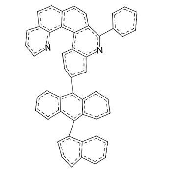 c1ccc(-c2nc3cc(-c4c5ccccc5c(-c5cccc6ccccc56)c5ccccc45)ccc3c3c2ccc2ccc4cccnc4c23)cc1